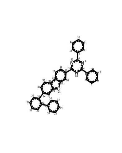 c1ccc(-c2nc(-c3ccccc3)nc(-c3ccc4c(c3)oc3cc(-c5ccccc5-c5ccccc5)ccc34)n2)cc1